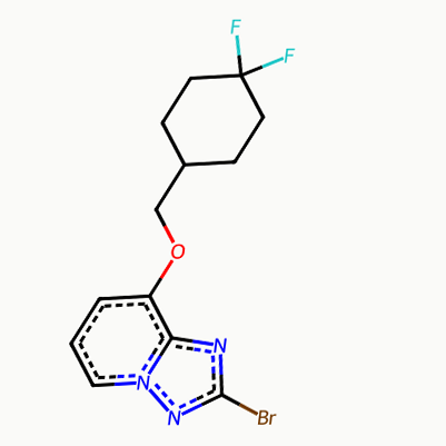 FC1(F)CCC(COc2cccn3nc(Br)nc23)CC1